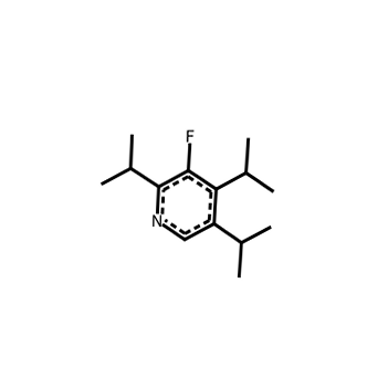 CC(C)c1cnc(C(C)C)c(F)c1C(C)C